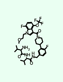 COCCn1cc(C(=O)N2CCC(c3cc(CNC(=O)[C@@H](NC(=O)C(N)C(C)C)C(C)C)ccc3F)CC2)c2c(OC(F)(F)F)ccc(F)c21